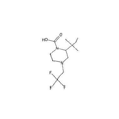 CC(C)(C)C1CN(CC(F)(F)F)CCN1C(=O)O